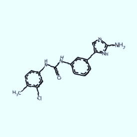 Cc1ccc(NC(=O)Nc2cccc(-c3cnc(N)[nH]3)c2)cc1Cl